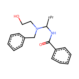 CCCC(NC(=O)c1ccccc1)N(CCO)Cc1ccccc1